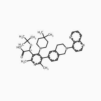 Cc1nc(C)c([C@H](OC(C)(C)C)C(=O)O)c(N2CCC(C)(C)CC2)c1-c1ccc2c(c1)CCN(c1ccnc3cccnc13)C2